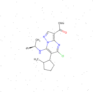 COC(=O)c1cnn2c(N[C@H](C)C(C)C)c(C3CCCC3C)c(Cl)nc12